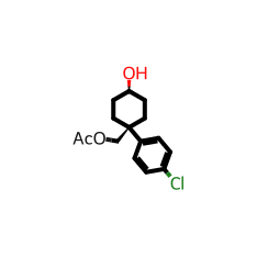 CC(=O)OC[C@]1(c2ccc(Cl)cc2)CC[C@H](O)CC1